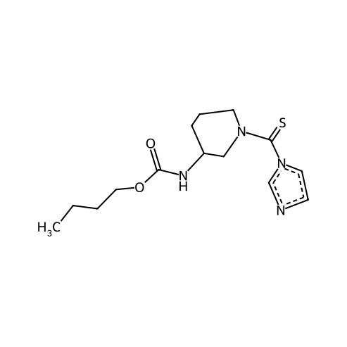 CCCCOC(=O)NC1CCCN(C(=S)n2ccnc2)C1